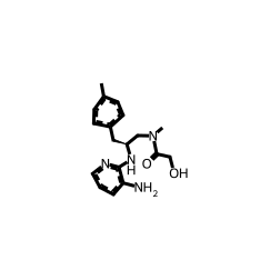 Cc1ccc(C[C@@H](CN(C)C(=O)CO)Nc2ncccc2N)cc1